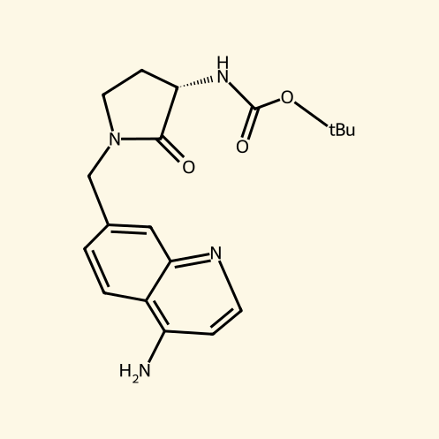 CC(C)(C)OC(=O)N[C@H]1CCN(Cc2ccc3c(N)ccnc3c2)C1=O